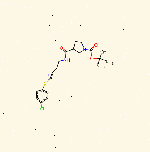 CC(C)(C)OC(=O)N1CCC(C(=O)NCC/C=C/Sc2ccc(Cl)cc2)C1